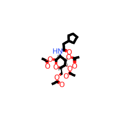 CC(=O)OC[C@H]1OC(OC(C)=O)[C@@H](NC(=O)CC2CCCC2)[C@@H](OC(C)=O)[C@@H]1OC(C)=O